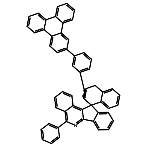 c1ccc(-c2nc3c(c4ccccc24)C2(c4ccccc4Cc4c(-c5cccc(-c6ccc7c8ccccc8c8ccccc8c7c6)c5)cccc42)c2ccccc2-3)cc1